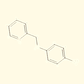 [CH]c1ccc(OCc2ccccn2)cc1